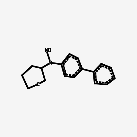 O=NN(c1ccc(-c2ccccc2)cc1)C1CCCCC1